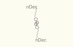 CCCCCCCCCCCCCCCCc1ccc(OOc2ccc(CCCCCCCCCCCCCCCC)cc2)cc1